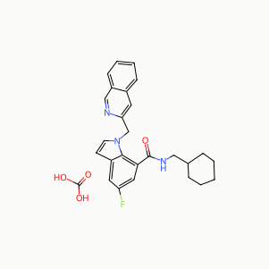 O=C(NCC1CCCCC1)c1cc(F)cc2ccn(Cc3cc4ccccc4cn3)c12.O=C(O)O